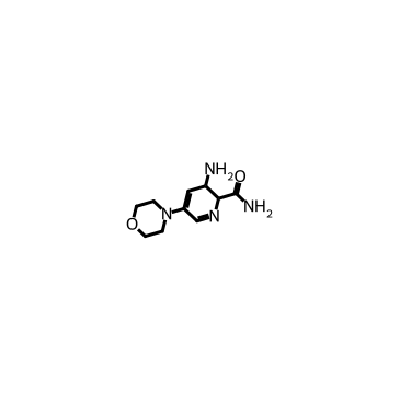 NC(=O)C1N=CC(N2CCOCC2)=CC1N